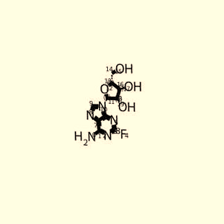 Nc1nc([18F])nc2c1ncn2[C@@H]1O[C@H](CO)[C@@H](O)[C@@H]1O